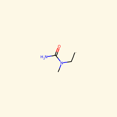 [CH2]CN(C)C(N)=O